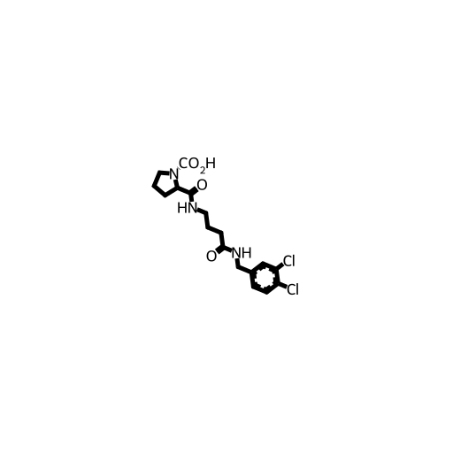 O=C(CCCNC(=O)C1CCCN1C(=O)O)NCc1ccc(Cl)c(Cl)c1